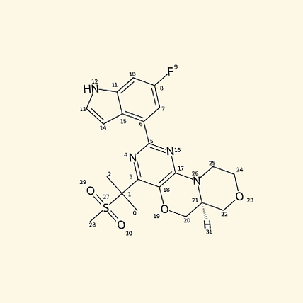 CC(C)(c1nc(-c2cc(F)cc3[nH]ccc23)nc2c1OC[C@@H]1COCCN21)S(C)(=O)=O